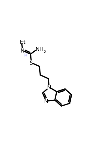 CC/N=C(\N)SCCCn1cnc2ccccc21